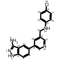 Nc1n[nH]c2ccc(-c3cncc(CNc4ccc(Cl)cc4)c3)cc12